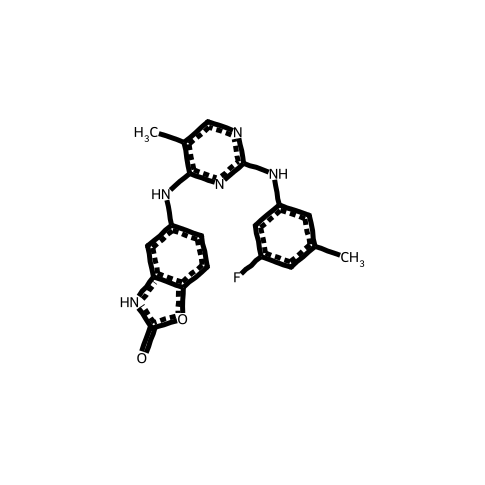 Cc1cc(F)cc(Nc2ncc(C)c(Nc3ccc4oc(=O)[nH]c4c3)n2)c1